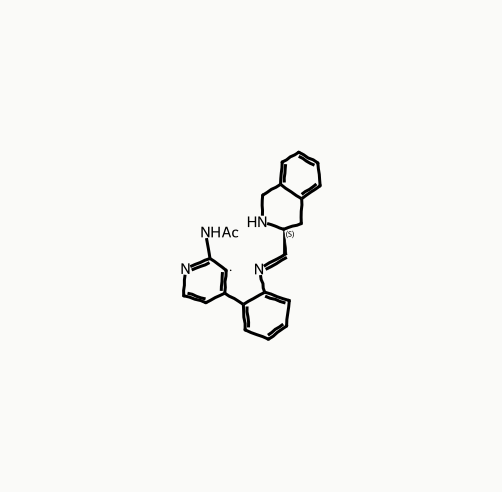 CC(=O)Nc1[c]c(-c2ccccc2N=C[C@@H]2Cc3ccccc3CN2)ccn1